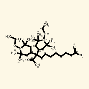 CCON1C(C)(C)CC(C(CCCCCCCC(=O)O)(C(=O)O)C2CC(C)(C)N(OCC)C(C)(C)C2)CC1(C)C